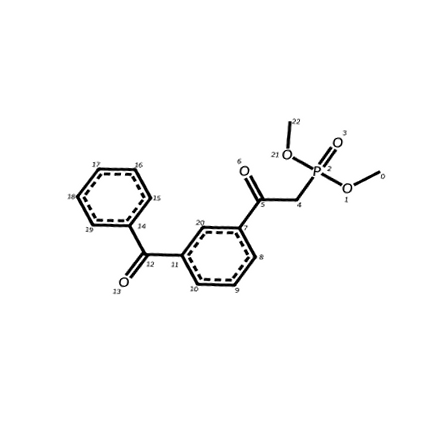 COP(=O)(CC(=O)c1cccc(C(=O)c2ccccc2)c1)OC